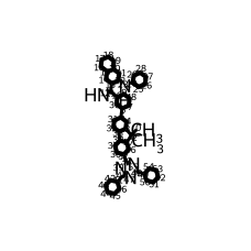 CC1(C)c2cc(-c3cccc(C(=N)c4cc5ccccc5cc4Nc4ccccc4)c3)ccc2-c2ccc(-c3nc(-c4ccccc4)nc(-c4ccccc4)n3)cc21